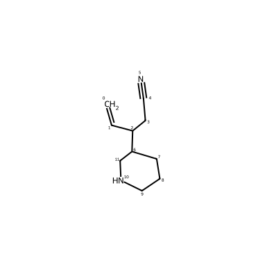 C=CC(CC#N)C1CCCNC1